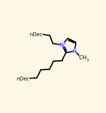 CCCCCCCCCCCCCCCc1n(C)cc[n+]1CCCCCCCCCCCC